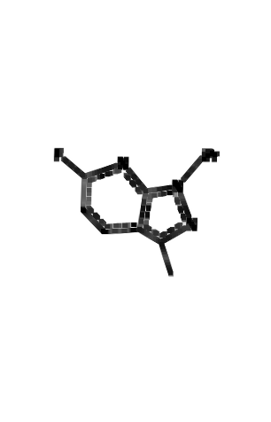 Cc1nn(C(C)C)c2nc(F)ccc12